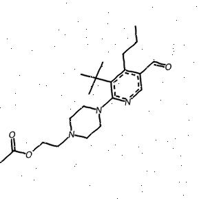 CCCc1c([C]=O)cnc(N2CCN(CCOC(C)=O)CC2)c1C(C)(C)C